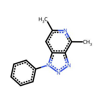 Cc1cc2c(nnn2-c2ccccc2)c(C)n1